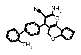 Cc1ccccc1-c1ccc(C2C(C#N)=C(N)OC3=C2COc2ccccc23)cc1